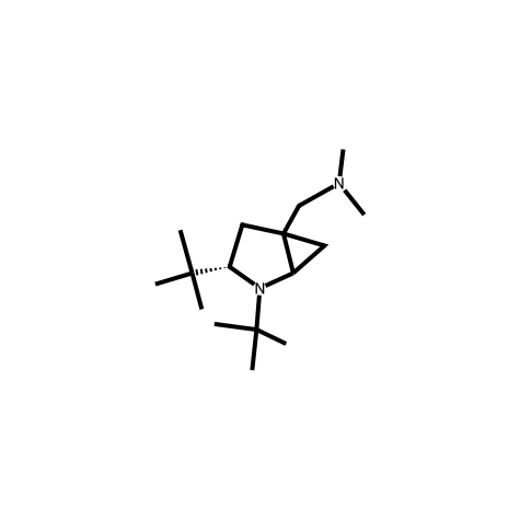 CN(C)CC12CC1N(C(C)(C)C)[C@H](C(C)(C)C)C2